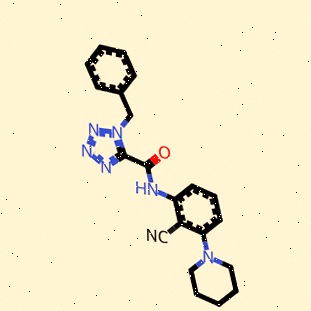 N#Cc1c(NC(=O)c2nnnn2Cc2ccccc2)cccc1N1CCCCC1